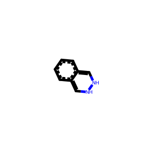 C1=c2ccccc2=CNN1